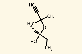 C#CC(C)(C)OP(=O)(O)CC